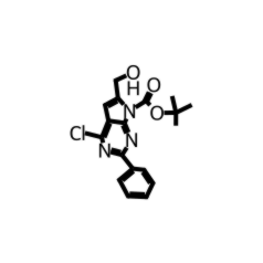 CC(C)(C)OC(=O)n1c(CO)cc2c(Cl)nc(-c3ccccc3)nc21